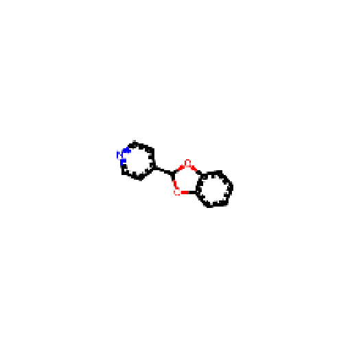 c1ccc2c(c1)OC(c1ccncc1)O2